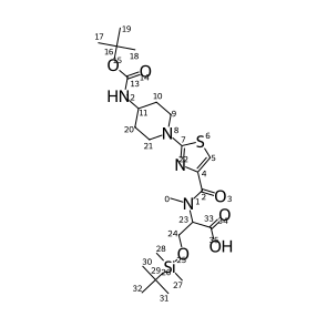 CN(C(=O)c1csc(N2CCC(NC(=O)OC(C)(C)C)CC2)n1)C(CO[Si](C)(C)C(C)(C)C)C(=O)O